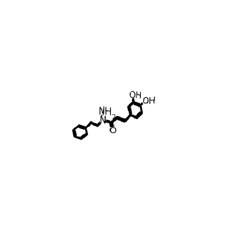 NN(CCc1ccccc1)C(=O)C=Cc1ccc(O)c(O)c1